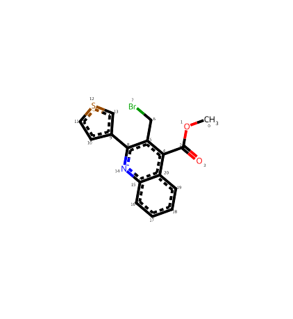 COC(=O)c1c(CBr)c(-c2ccsc2)nc2ccccc12